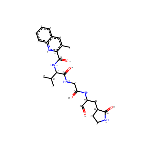 Cc1cc2ccccc2nc1C(=O)NC(C(=O)NCC(=O)NC(C=O)CC1CCNC1=O)C(C)C